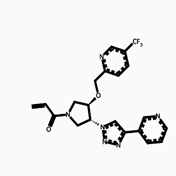 C=CC(=O)N1C[C@@H](n2cc(-c3cccnc3)nn2)[C@H](OCc2ccc(C(F)(F)F)cn2)C1